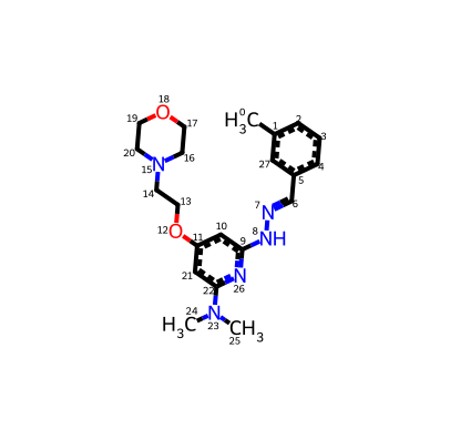 Cc1cccc(C=NNc2cc(OCCN3CCOCC3)cc(N(C)C)n2)c1